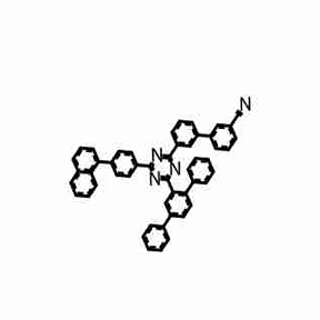 N#Cc1cccc(-c2cccc(-c3nc(-c4ccc(-c5cccc6ccccc56)cc4)nc(-c4cc(-c5ccccc5)ccc4-c4ccccc4)n3)c2)c1